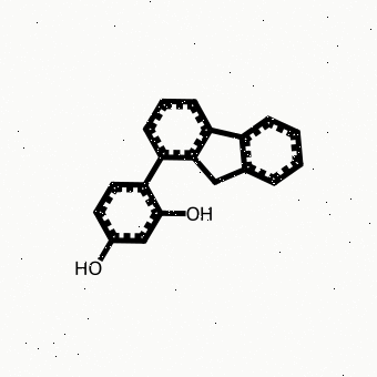 Oc1ccc(-c2cccc3c2Cc2ccccc2-3)c(O)c1